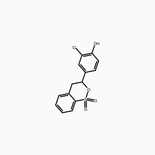 O=S1(=O)OC(c2ccc(O)c(Cl)c2)Cc2ccccc21